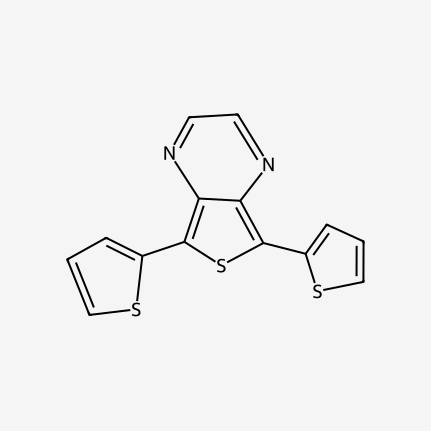 c1csc(-c2sc(-c3cccs3)c3nccnc23)c1